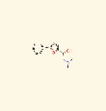 [CH2]N(C)CC(O)c1ccc(-c2ccccc2)o1